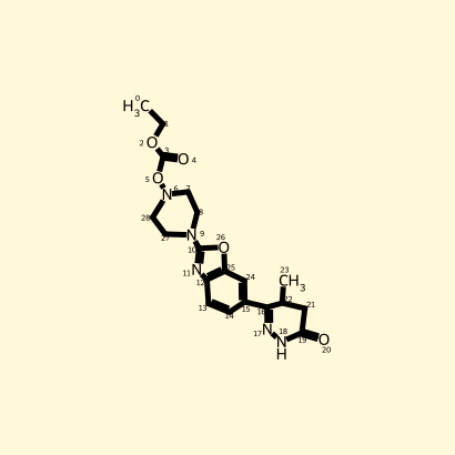 CCOC(=O)ON1CCN(c2nc3ccc(C4=NNC(=O)CC4C)cc3o2)CC1